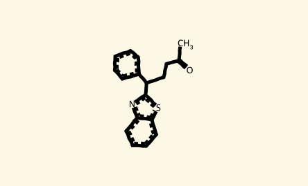 CC(=O)CCC(c1ccccc1)c1nc2ccccc2s1